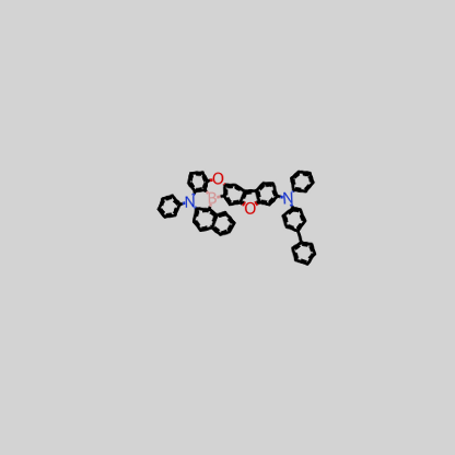 c1ccc(-c2ccc(N(c3ccccc3)c3ccc4c(c3)oc3cc5c(cc34)Oc3cccc4c3B5c3c(ccc5ccccc35)N4c3ccccc3)cc2)cc1